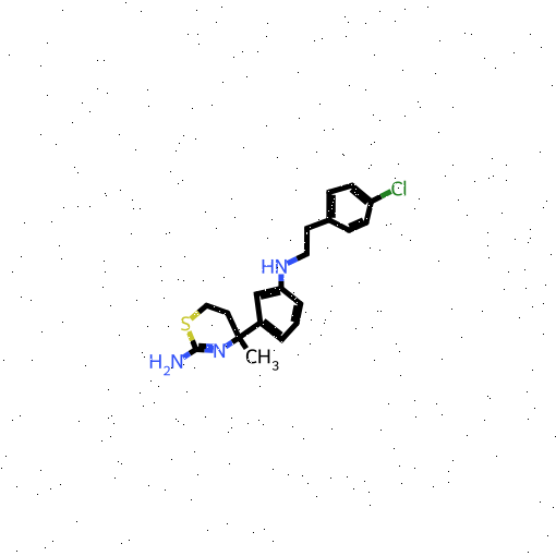 CC1(c2cccc(NCCc3ccc(Cl)cc3)c2)CCSC(N)=N1